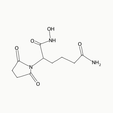 NC(=O)CCCC(C(=O)NO)N1C(=O)CCC1=O